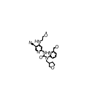 COCCNc1cc(NC(=O)N(CC2CCOC2)c2cccc(C=O)n2)ncc1C#N